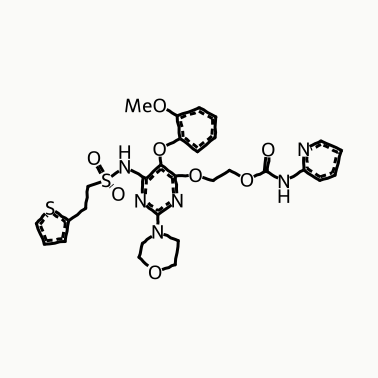 COc1ccccc1Oc1c(NS(=O)(=O)CCc2cccs2)nc(N2CCOCC2)nc1OCCOC(=O)Nc1ccccn1